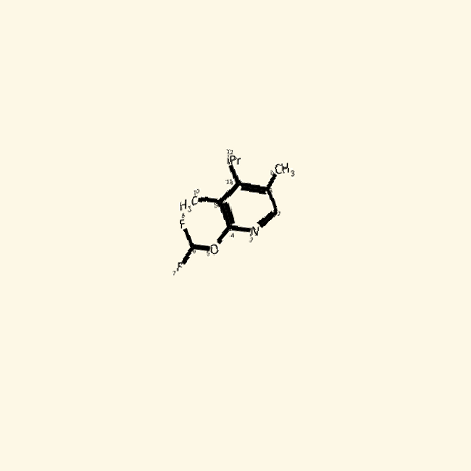 Cc1cnc(OC(F)F)c(C)c1C(C)C